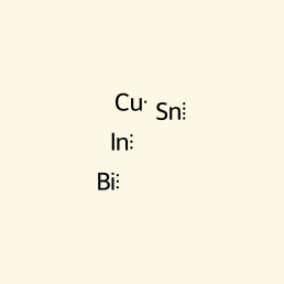 [Bi].[Cu].[In].[Sn]